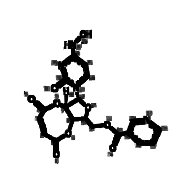 O=C1/C=C\C(=O)O[C@H]2C(O1)C(COC(=O)c1cccnc1)O[C@H]2n1ccc(NO)nc1=O